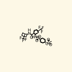 CS(=O)(=O)Oc1ccc(S(=O)(=O)Nc2cc(C(F)(F)F)ccc2C(=O)NC2CC3(C(F)(F)F)CCC23)cc1